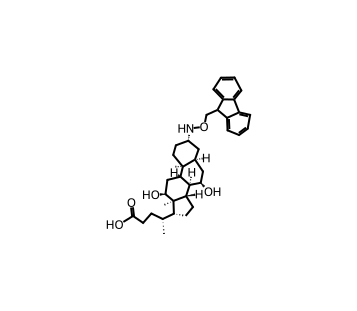 C[C@H](CCC(=O)O)[C@H]1CC[C@H]2[C@@H]3[C@H](O)C[C@@H]4C[C@@H](NOCC5c6ccccc6-c6ccccc65)CC[C@]4(C)[C@H]3C[C@H](O)[C@]12C